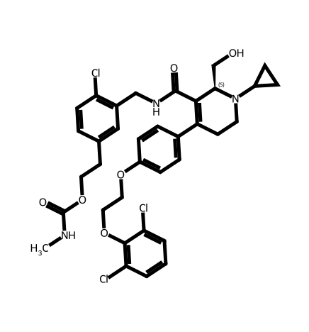 CNC(=O)OCCc1ccc(Cl)c(CNC(=O)C2=C(c3ccc(OCCOc4c(Cl)cccc4Cl)cc3)CCN(C3CC3)[C@@H]2CO)c1